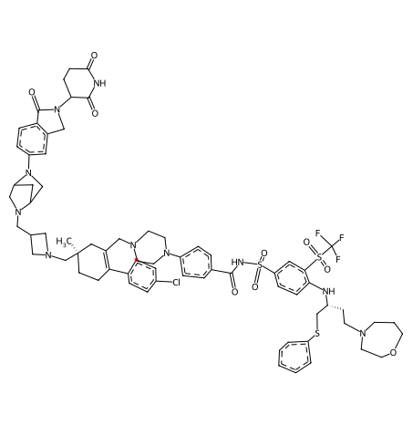 C[C@@]1(CN2CC(CN3CC4CC3CN4c3ccc4c(c3)CN(C3CCC(=O)NC3=O)C4=O)C2)CCC(c2ccc(Cl)cc2)=C(CN2CCN(c3ccc(C(=O)NS(=O)(=O)c4ccc(N[C@H](CCN5CCCOCC5)CSc5ccccc5)c(S(=O)(=O)C(F)(F)F)c4)cc3)CC2)C1